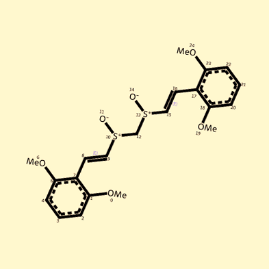 COc1cccc(OC)c1/C=C/[S+]([O-])C[S+]([O-])/C=C/c1c(OC)cccc1OC